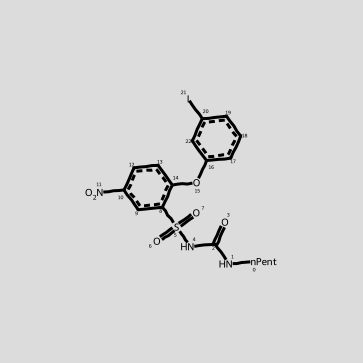 CCCCCNC(=O)NS(=O)(=O)c1cc([N+](=O)[O-])ccc1Oc1cccc(I)c1